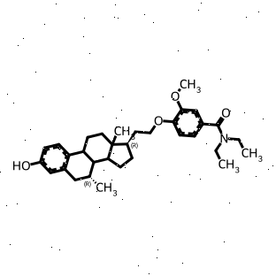 CCN(CC)C(=O)c1ccc(OCC[C@H]2CCC3C4C(CCC32C)c2ccc(O)cc2C[C@H]4C)c(OC)c1